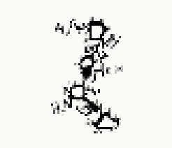 CCN1CCCC(NS(=O)(=O)c2ccc(-c3cnc(N)c(C(=O)Nc4cccnc4)n3)cc2)C1.Cl